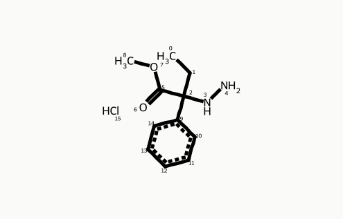 CCC(NN)(C(=O)OC)c1ccccc1.Cl